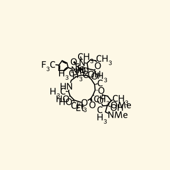 CC[C@H]1OC(=O)[C@H](C)[C@@H](O[C@H]2C[C@@](C)(OC)[C@](O)(CNC)[C@H](C)O2)[C@H](C)[C@@H](O[C@@H]2O[C@H](C)C[C@H](N(C)S(=O)(=O)Nc3ccc(C(F)(F)F)cc3)[C@H]2O)[C@](C)(O)C[C@@H](C)CN[C@H](C)[C@@H](O)[C@]1(C)O